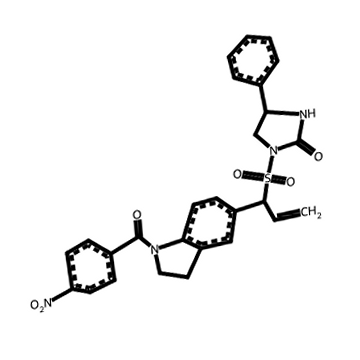 C=CC(c1ccc2c(c1)CCN2C(=O)c1ccc([N+](=O)[O-])cc1)S(=O)(=O)N1CC(c2ccccc2)NC1=O